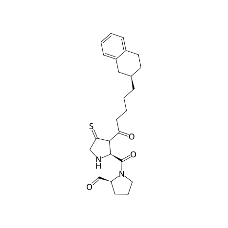 O=C[C@@H]1CCCN1C(=O)[C@H]1NCC(=S)C1C(=O)CCCC[C@@H]1CCc2ccccc2C1